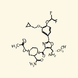 CC(=O)ON1CCN(C(=O)c2nc(-c3ccc(OC(F)F)c(OCC4CC4)c3)oc2[C@H](C)N)C(C(N)=O)C1.Cl